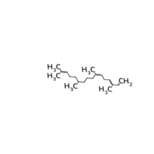 C=CC(C)=CCC=C(C)CCCC(C)CCC=C(C)C